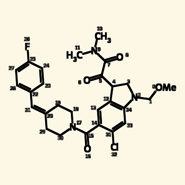 COCN1CC(C(=O)C(=O)N(C)C)c2cc(C(=O)N3CCC(=Cc4ccc(F)cc4)CC3)c(Cl)cc21